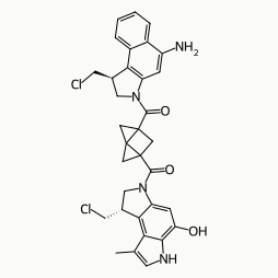 Cc1c[nH]c2c(O)cc3c(c12)[C@H](CCl)CN3C(=O)C12CC3(C(=O)N4C[C@@H](CCl)c5c4cc(N)c4ccccc54)CC31C2